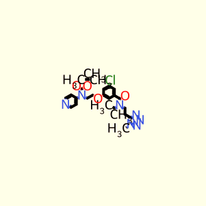 CC(C)N(CCc1nnnn1C)C(=O)c1cc(Cl)cc(OCCN(C(=O)OC(C)(C)C)c2ccncc2)c1